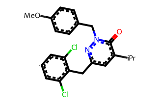 COc1ccc(Cn2nc(Cc3c(Cl)c[c]cc3Cl)cc(C(C)C)c2=O)cc1